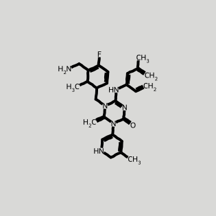 C=C/C(=C\C(=C)C)NC1=NC(=O)N(C2=CNCC(C)=C2)C(=C)N1CC1C=CC(F)=C(CN)C1C